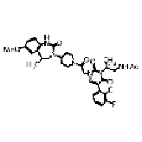 COc1ccc2c(c1)C(C)CN(C1CCN(C(=O)Cn3cc(-c4cccc(F)c4Cl)c(=O)n([C@@H](C)CNC(C)=O)c3=O)CC1)C(=O)N2